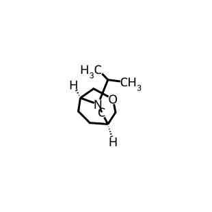 CC(C)N1C[C@@H]2CC[C@H]1COC2